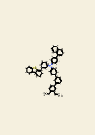 C=Cc1ccc(-c2cccc(-c3ccc(N(c4ccc(-c5cccc6c5C=CCC6)cc4)c4cccc(-c5cccc6c5sc5ccccc56)c4)cc3)c2)cc1C=C